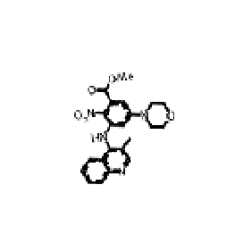 COC(=O)c1cc(N2CCOCC2)cc(Nc2c(C)cnc3ccccc23)c1[N+](=O)[O-]